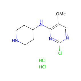 COc1cnc(Cl)nc1NC1CCNCC1.Cl.Cl